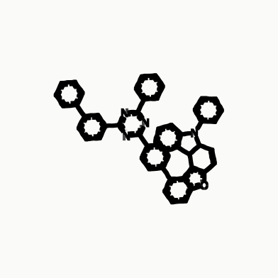 C1=CC2C(c3ccccc3N2c2ccccc2)c2c1oc1cccc(-c3ccc(-c4nc(-c5ccccc5)nc(-c5cccc(-c6ccccc6)c5)n4)cc3)c21